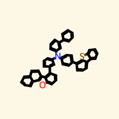 c1ccc(-c2cccc(N(c3ccc(-c4cccc5c4sc4ccccc45)cc3)c3cccc(-c4cccc5oc6c7ccccc7ccc6c45)c3)c2)cc1